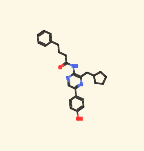 O=C(CCCc1ccccc1)Nc1ncc(-c2ccc(O)cc2)nc1CC1CCCC1